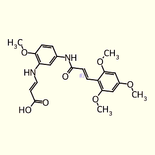 COc1cc(OC)c(/C=C/C(=O)Nc2ccc(OC)c(NC=CC(=O)O)c2)c(OC)c1